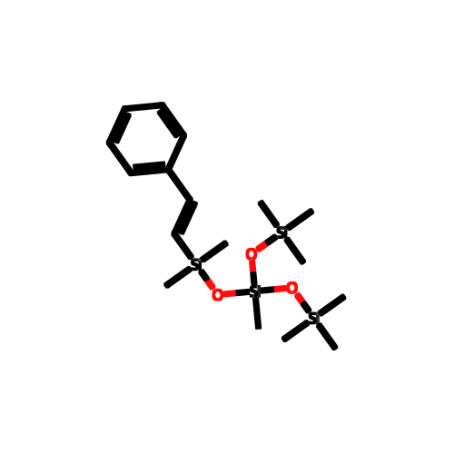 C[Si](C)(C)O[Si](C)(O[Si](C)(C)C)O[Si](C)(C)C=Cc1ccccc1